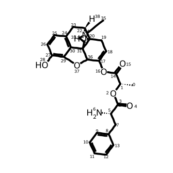 C[C@H](OC(=O)[C@@H](N)Cc1ccccc1)C(=O)OC1=CC[C@@]2(O)[C@H]3Cc4ccc(O)c5c4C2(CCN3C)C1O5